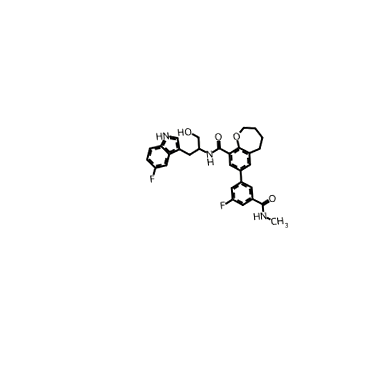 CNC(=O)c1cc(F)cc(-c2cc3c(c(C(=O)NC(CO)Cc4c[nH]c5ccc(F)cc45)c2)OCCCC3)c1